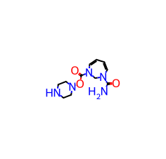 NC(=O)N1C=CC=CN(C(=O)ON2CCNCC2)C1